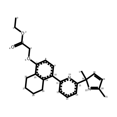 CCOC(=O)COc1ccc(-c2cccc(C3(C)C=CC(C)=N3)n2)c2c1CCCC2